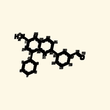 Nc1nc(-c2ccccc2)c2nc(-c3cccc(C=O)c3)ccc2n1